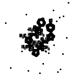 CC(C)(C(=O)Nc1nc(-c2ccc(Cl)cc2)cs1)S(=O)(=O)C1CCCC1.Cn1nc(C(C)(C)C)cc1NC(=O)C(C)(C)S(=O)(=O)C1CCOCC1